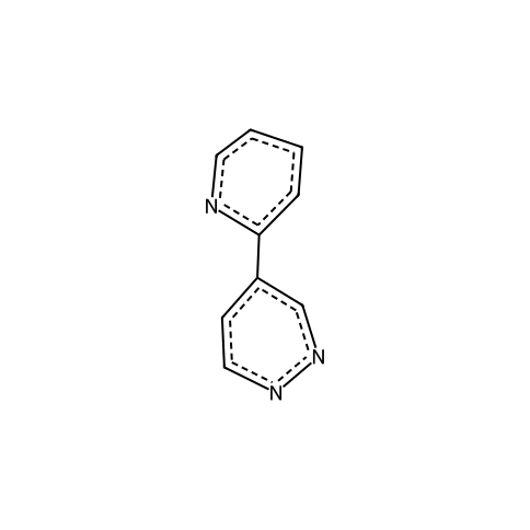 c1ccc(-c2ccnnc2)nc1